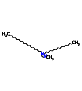 CCCCCCCCCCCCCCCCCCCN1C=CN(C)C1CCCCCCCCCCCCCCC